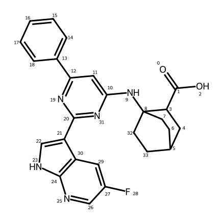 O=C(O)C1CC2CCC1(Nc1cc(-c3ccccc3)nc(-c3c[nH]c4ncc(F)cc34)n1)CC2